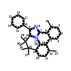 Cc1cccc2c1c1nc(-c3ccccc3)c3n1c1c(ccc(C)c21)C(C)(C)C3(C)C